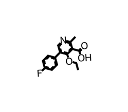 CCOc1c(-c2ccc(F)cc2)cnc(C)c1C(=O)O